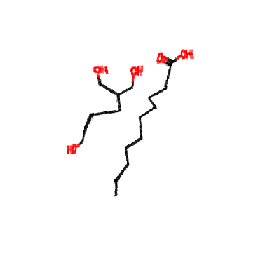 CCCCCCCCCC(=O)O.OCCCC(CO)CO